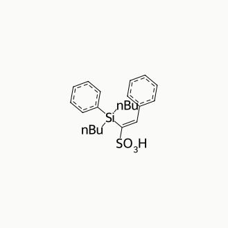 CCCC[Si](CCCC)(C(=Cc1ccccc1)S(=O)(=O)O)c1ccccc1